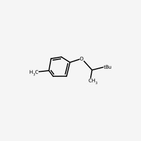 Cc1ccc(OC(C)C(C)(C)C)cc1